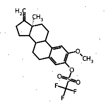 C=C1CCC2C3CCc4cc(OS(=O)(=O)C(F)(F)F)c(OC)cc4C3CC[C@]12C